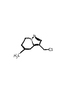 CC1CCn2ncc(CCl)c2C1